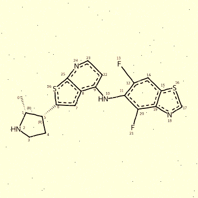 C[C@H]1NCC[C@H]1c1cc2c(Nc3c(F)cc4scnc4c3F)ccnc2s1